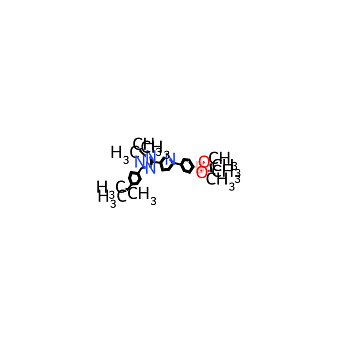 CC(C)(C)c1ccc(-c2nc(-c3ccc(-c4ccc(B5OC(C)(C)C(C)(C)O5)cc4)nc3)nc(C(C)(C)C)n2)cc1